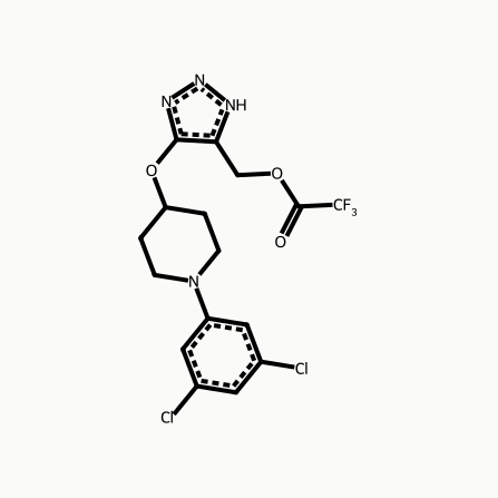 O=C(OCc1[nH]nnc1OC1CCN(c2cc(Cl)cc(Cl)c2)CC1)C(F)(F)F